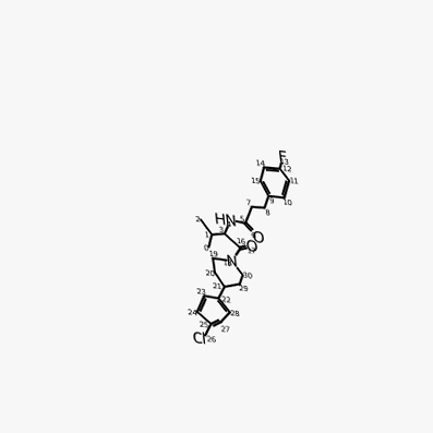 CC(C)C(NC(=O)CCc1ccc(F)cc1)C(=O)N1CCC(c2ccc(Cl)cc2)CC1